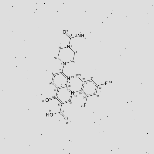 NC(=O)N1CCN(c2ccc3c(=O)c(C(=O)O)cn(-c4c(F)cc(F)cc4F)c3n2)CC1